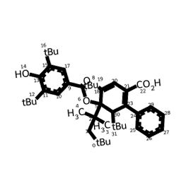 CC(C)(C)CC(C)(C)C1(OC(=O)c2cc(C(C)(C)C)c(O)c(C(C)(C)C)c2)C(C(C)(C)C)=CC(C(=O)O)=C(c2ccccc2)C1C(C)(C)C